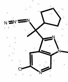 Cn1nc(C(C)(N=[N+]=[N-])C2CCCC2)c2cc(Cl)ncc21